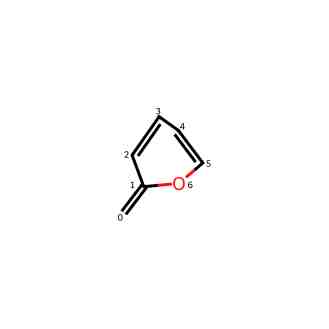 C=C1C=CC=CO1